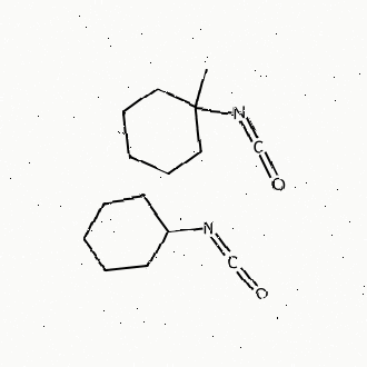 CC1(N=C=O)CCCCC1.O=C=NC1CCCCC1